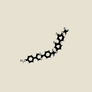 CC1CCC(C2COC(C3CCC(C(F)(F)Oc4ccc(-c5ccc(OC(F)(F)F)c(F)c5)c(F)c4)CC3)OC2)CC1